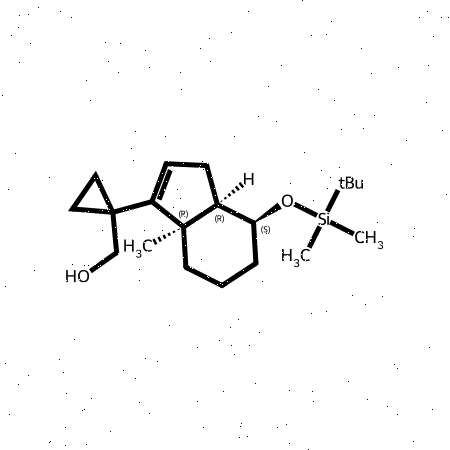 CC(C)(C)[Si](C)(C)O[C@H]1CCC[C@@]2(C)C(C3(CO)CC3)=CC[C@@H]12